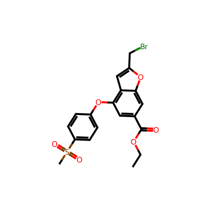 CCOC(=O)c1cc(Oc2ccc(S(C)(=O)=O)cc2)c2cc(CBr)oc2c1